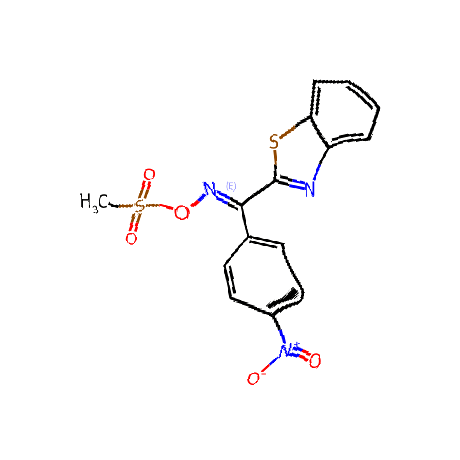 CS(=O)(=O)O/N=C(\c1ccc([N+](=O)[O-])cc1)c1nc2ccccc2s1